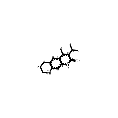 Cc1c(C(C)C)c(=O)oc2cc3c(cc12)CCCN3